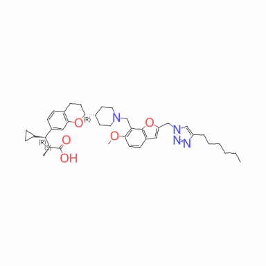 CCCCCCc1cn(Cc2cc3ccc(OC)c(CN4CCC([C@H]5CCc6ccc([C@H](C7CC7)[C@H](C)C(=O)O)cc6O5)CC4)c3o2)nn1